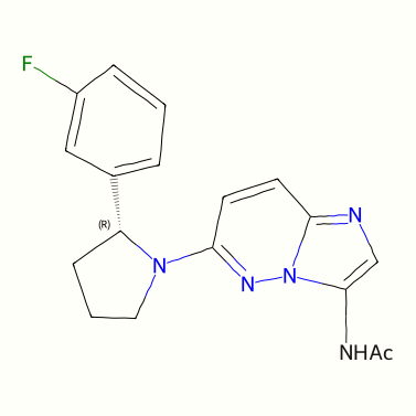 [CH2]C(=O)Nc1cnc2ccc(N3CCC[C@@H]3c3cccc(F)c3)nn12